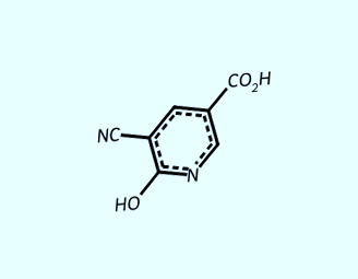 N#Cc1cc(C(=O)O)cnc1O